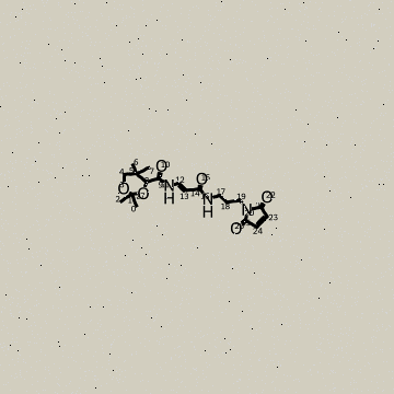 CC1(C)OCC(C)(C)C(C(=O)NC=CC(=O)NCCCN2C(=O)C=CC2=O)O1